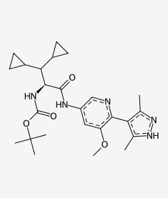 COc1cc(NC(=O)[C@@H](NC(=O)OC(C)(C)C)C(C2CC2)C2CC2)cnc1-c1c(C)n[nH]c1C